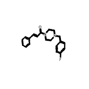 O=C(C=Cc1ccccc1)N1CCN(Cc2ccc(F)cc2)CC1